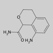 NC(=O)C1OCCc2cccc(N)c21